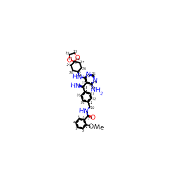 COc1ccccc1C(=O)NCc1ccc(C(=N)c2c(N)ncnc2NC2CCC3(CC2)OCCO3)cc1